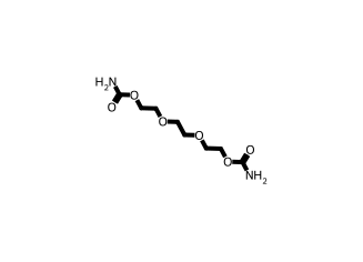 NC(=O)OCCOCCOCCOC(N)=O